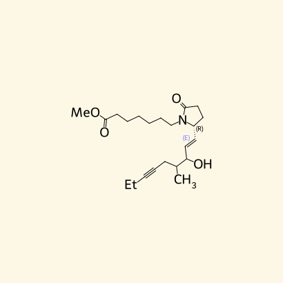 CCC#CCC(C)C(O)/C=C/[C@H]1CCC(=O)N1CCCCCCC(=O)OC